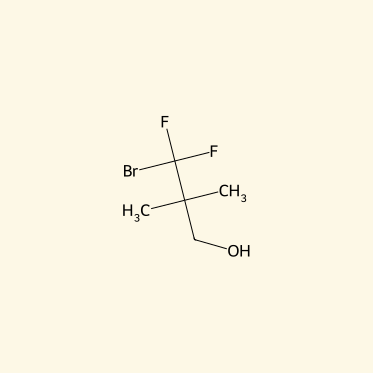 CC(C)(CO)C(F)(F)Br